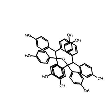 Oc1ccc(C(c2ccc(O)cc2)C(OC(c2ccc(O)cc2)(c2ccc(O)cc2)C(c2ccc(O)cc2)c2ccc(O)cc2)(c2ccc(O)cc2)c2ccc(O)cc2)cc1